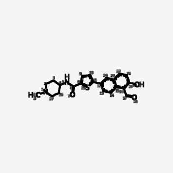 CN1CCC(NC(=O)c2ccc(-c3ccc4c(C=O)c(O)ccc4c3)s2)CC1